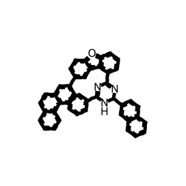 c1ccc(C2=NC(c3cccc4oc5ccc(-c6ccc7c(ccc8ccccc87)c6)cc5c34)=NC(c3ccc4ccccc4c3)N2)cc1